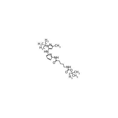 Cc1cc(Nc2cccc(NC(=O)CCCCNC(=O)OC(C)(C)C)n2)n(C(C)(C)C)n1